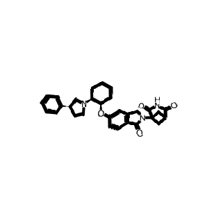 O=C1NC(=O)C2(N3Cc4cc(O[C@@H]5CCCC[C@@H]5N5CC[C@H](c6ccccc6)C5)ccc4C3=O)CC1C2